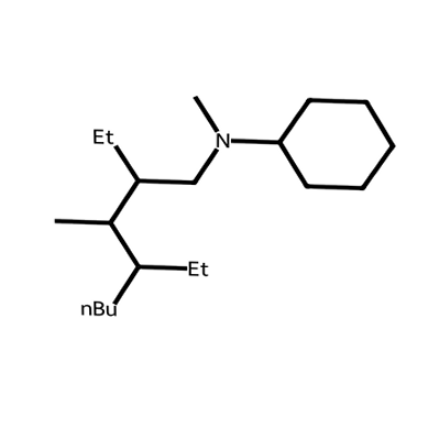 CCCCC(CC)C(C)C(CC)CN(C)C1CCCCC1